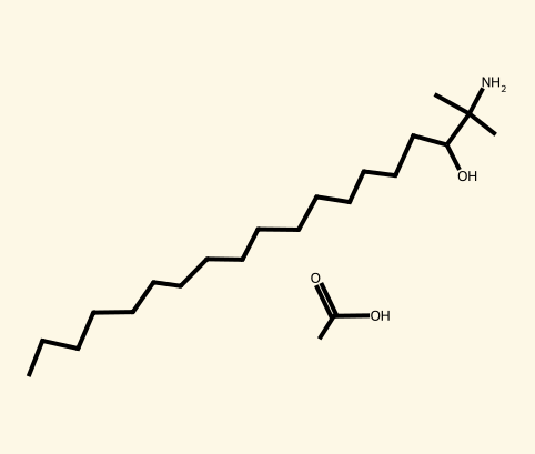 CC(=O)O.CCCCCCCCCCCCCCCCC(O)C(C)(C)N